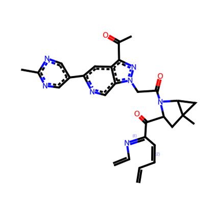 C=C/C=C\C(=N/C=C)C(=O)C1CC2(C)CC2N1C(=O)Cn1nc(C(C)=O)c2cc(-c3cnc(C)nc3)ncc21